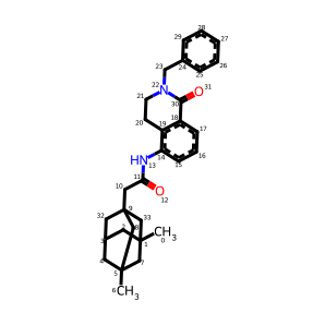 CC12CC3CC(C)(C1)CC(CC(=O)Nc1cccc4c1CCN(Cc1ccccc1)C4=O)(C3)C2